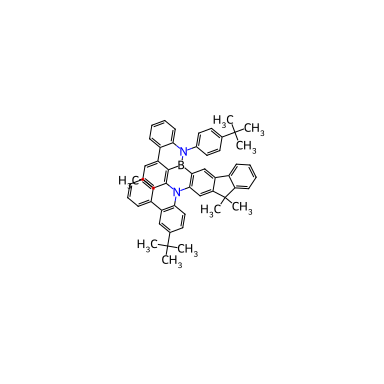 Cc1cc2c3c(c1)N(c1ccc(C(C)(C)C)cc1-c1ccccc1)c1cc4c(cc1B3N(c1ccc(C(C)(C)C)cc1)c1ccccc1-2)-c1ccccc1C4(C)C